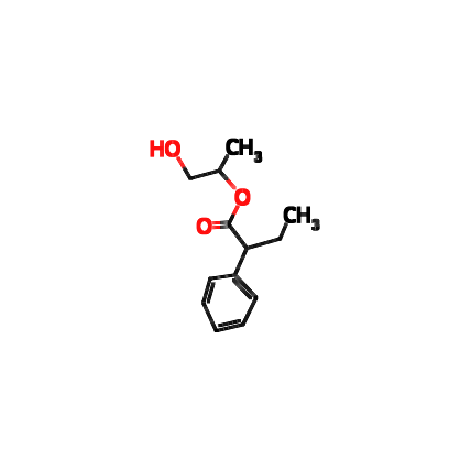 CCC(C(=O)OC(C)CO)c1ccccc1